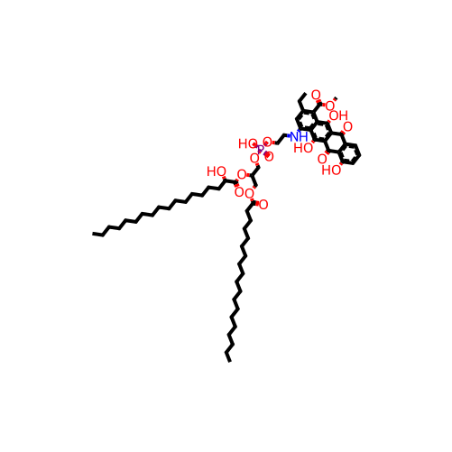 CCCCCCCCCCCCCCCCCCC(=O)OCC(COP(=O)(O)OCCNc1cc(CC)c(C(=O)OC)c2c(O)c3c(c(O)c12)C(=O)c1c(O)cccc1C3=O)OC(=O)C(O)CCCCCCCCCCCCCCCC